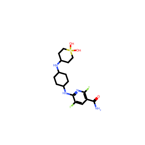 NC(=O)c1cc(F)c(NC2CCC(NC3CCS(O)(O)CC3)CC2)nc1F